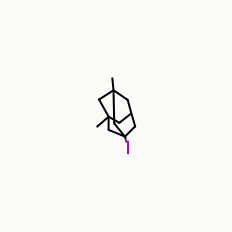 CC12CC3CC(C)(C1)CC(I)(C3)C2